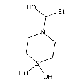 CCC(O)N1CCS(O)(O)CC1